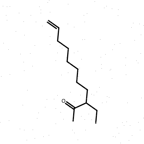 C=CCCCCCCC(CC)C(C)=O